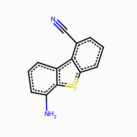 N#Cc1cccc2sc3c(N)cccc3c12